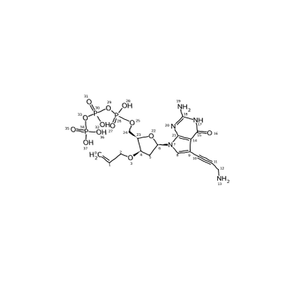 C=CCO[C@@H]1C[C@H](n2cc(C#CCN)c3c(=O)[nH]c(N)nc32)O[C@@H]1COP(=O)(O)OP(=O)(O)OP(=O)(O)O